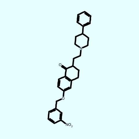 O=C1c2ccc(OCc3cccc([N+](=O)[O-])c3)cc2CCC1CCN1CCC(c2ccccc2)CC1